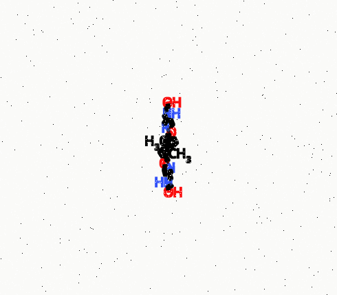 Cc1c(COc2ccc(CNCCO)cn2)cccc1-c1cccc(COc2ccc(CNCCO)cn2)c1C